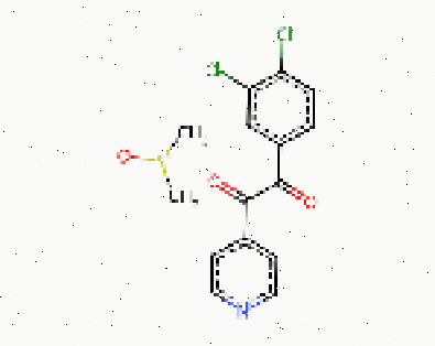 C[S+](C)[O-].O=C(C(=O)c1ccc(Cl)c(Cl)c1)c1ccncc1